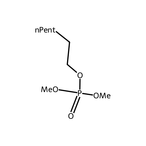 CCCCCCCOP(=O)(OC)OC